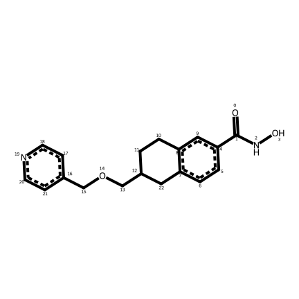 O=C(NO)c1ccc2c(c1)CCC(COCc1ccncc1)C2